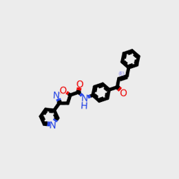 O=C(/C=C/c1ccccc1)c1ccc(NC(=O)C2CC(c3cccnc3)=NO2)cc1